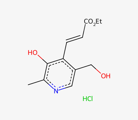 CCOC(=O)C=Cc1c(CO)cnc(C)c1O.Cl